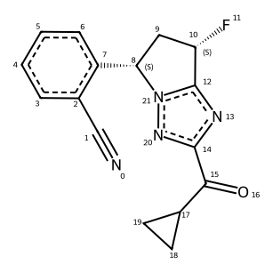 N#Cc1ccccc1[C@@H]1C[C@H](F)c2nc(C(=O)C3CC3)nn21